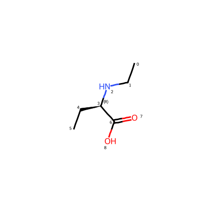 CCN[C@H](CC)C(=O)O